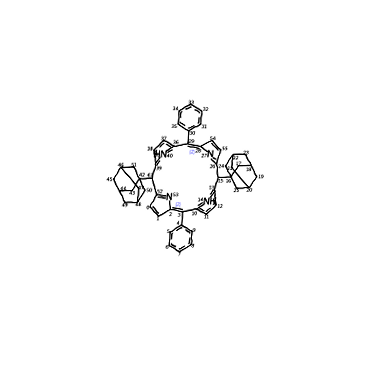 C1=C/C2=C(\c3ccccc3)c3ccc([nH]3)C(C34CC5CC(CC(C5)C3)C4)C3=N/C(=C(/c4ccccc4)c4ccc([nH]4)C(C45CC6CC(CC(C6)C4)C5)C1=N2)C=C3